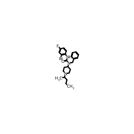 CCCC(C)N1CCC(N(Cc2ccccc2)C(=O)Nc2ccc(F)cc2Br)CC1